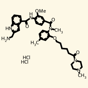 COc1cc(C(=O)N(C)c2ccc(C)cc2OCCCCCC(=O)N2CCN(C)CC2)ccc1NC(=O)c1cccc2[nH]c(CN)cc12.Cl.Cl